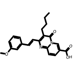 CCCCc1c(/C=C/c2cccc(OC)c2)nc2ccc(C(=O)O)cn2c1=O